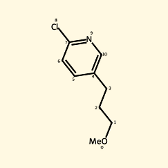 COC[CH]Cc1ccc(Cl)nc1